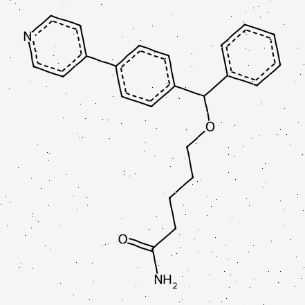 NC(=O)CCCCOC(c1ccccc1)c1ccc(-c2ccncc2)cc1